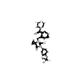 O=C(c1cnccc1CN1C(=O)N(c2ccc(OC(F)(F)F)cc2)C(=O)C12CC2)N1CCOCC1